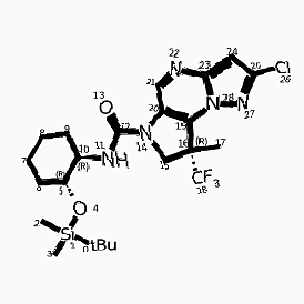 CC(C)(C)[Si](C)(C)O[C@@H]1CCCC[C@H]1NC(=O)N1C[C@@](C)(C(F)(F)F)c2c1cnc1cc(Cl)nn21